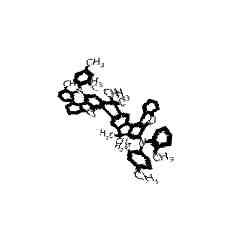 Cc1ccc(N(c2ccccc2C)c2cc3c(c4c2oc2ccccc24)-c2cc4c(cc2C3(C)C)-c2c(cc(N(c3ccccc3C)c3ccc(C)cc3C)c3c2oc2ccccc23)C4(C)C)c(C)c1